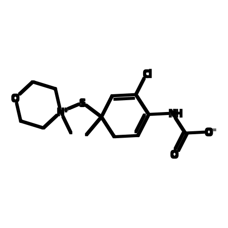 CC1(S[N+]2(C)CCOCC2)C=C(Cl)C(NC(=O)[O-])=CC1